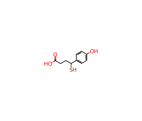 O=C(O)CCC(S)c1ccc(O)cc1